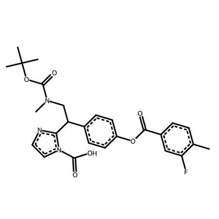 Cc1ccc(C(=O)Oc2ccc(C(CN(C)C(=O)OC(C)(C)C)c3nccn3C(=O)O)cc2)cc1F